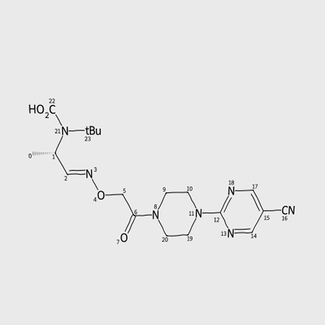 C[C@@H](/C=N/OCC(=O)N1CCN(c2ncc(C#N)cn2)CC1)N(C(=O)O)C(C)(C)C